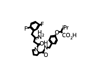 CC(C)C(Oc1ccc(CNC(=O)C2CCCN2C(=O)C[C@H](N)Cc2cc(F)ccc2F)cc1)C(=O)O